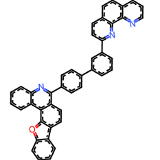 c1cc(-c2ccc(-c3nc4ccccc4c4c3ccc3c5ccccc5oc34)cc2)cc(-c2ccc3ccc4cccnc4c3n2)c1